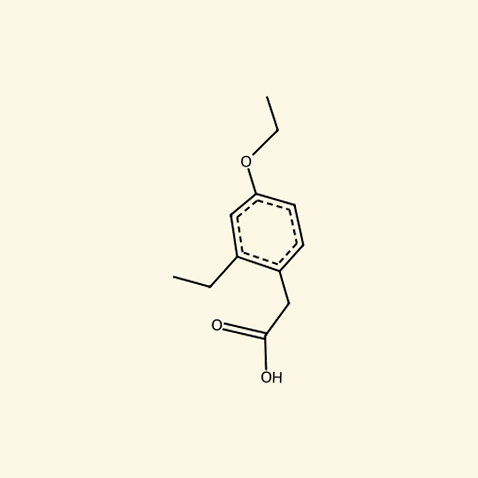 CCOc1ccc(CC(=O)O)c(CC)c1